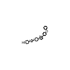 c1ccc(Oc2ccc(-c3ccn(C4CCN(C5CN(C6CCNCC6)C5)CC4)n3)cc2)cc1